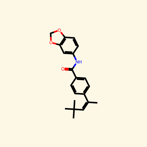 C/C(=C/C(C)(C)C)c1ccc(C(=O)Nc2ccc3c(c2)OCO3)cc1